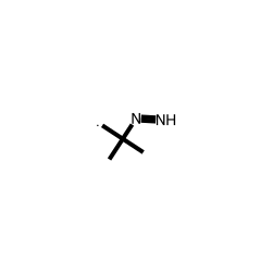 [CH2]C(C)(C)N=N